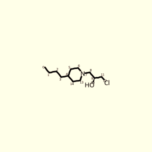 CCCCC1CCN(C[C@H](O)CCl)CC1